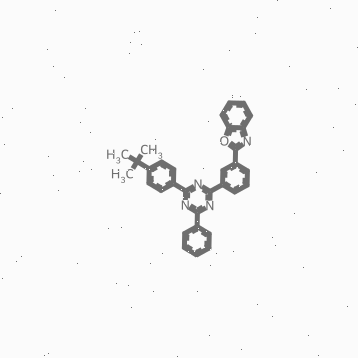 CC(C)(C)c1ccc(-c2nc(-c3ccccc3)nc(-c3cccc(-c4nc5ccccc5o4)c3)n2)cc1